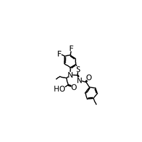 CCC(C(=O)O)n1c(=NC(=O)c2ccc(C)cc2)sc2cc(F)c(F)cc21